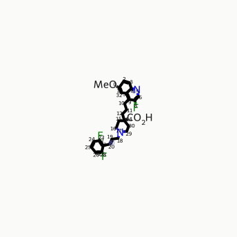 COc1ccc2ncc(F)c(CCCC3(C(=O)O)CCN(C/C=C/c4c(F)cccc4F)CC3)c2c1